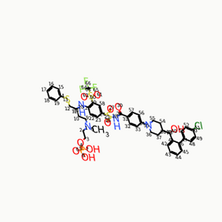 CN(CCOP(=O)(O)O)CC[C@@H](CSc1ccccc1)Nc1ccc(S(=O)(=O)NC(=O)c2ccc(N3CCC([C@H](O)c4ccccc4-c4ccc(Cl)cc4)CC3)cc2)cc1S(=O)(=O)C(F)(F)F